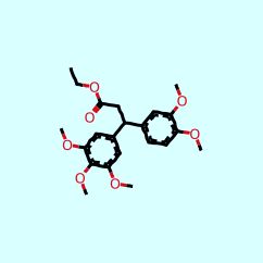 CCOC(=O)CC(c1ccc(OC)c(OC)c1)c1cc(OC)c(OC)c(OC)c1